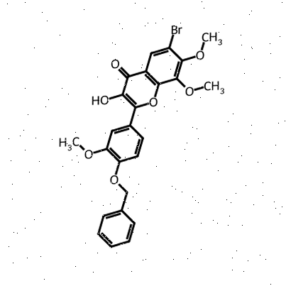 COc1cc(-c2oc3c(OC)c(OC)c(Br)cc3c(=O)c2O)ccc1OCc1ccccc1